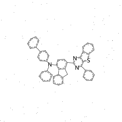 c1ccc(-c2ccc(N(c3ccccc3)c3ccc(-c4nc(-c5ccccc5)c5sc6ccccc6c5n4)c4c3-c3ccccc3C4)cc2)cc1